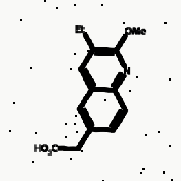 CCc1cc2cc(CC(=O)O)ccc2nc1OC